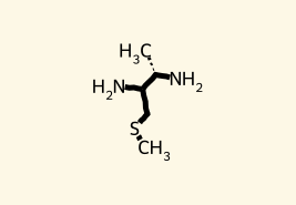 CSCC(N)[C@H](C)N